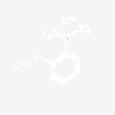 CN(C)c1ccccc1Cl.[Cl-].[Cl-].[Zn+2]